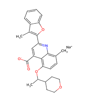 Cc1c(-c2cc(C(=O)[O-])c3c(OC(C)C4CCOCC4)ccc(C)c3n2)oc2ccccc12.[Na+]